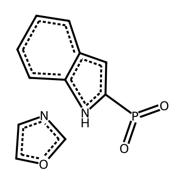 O=P(=O)c1cc2ccccc2[nH]1.c1cocn1